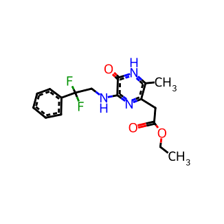 CCOC(=O)Cc1nc(NCC(F)(F)c2ccccc2)c(=O)[nH]c1C